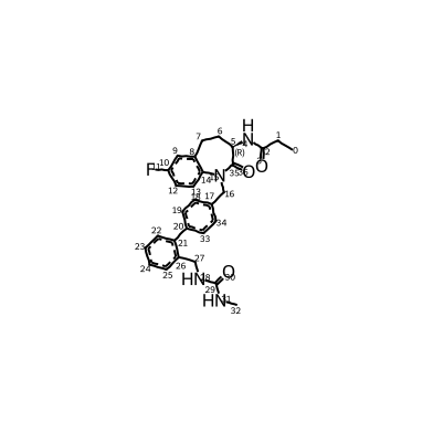 CCC(=O)N[C@@H]1CCc2cc(F)ccc2N(Cc2ccc(-c3ccccc3CNC(=O)NC)cc2)C1=O